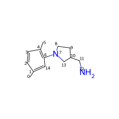 Cc1ccc(C)c(N2CCC(CN)C2)c1